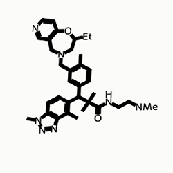 CCC1CN(Cc2cc(C(c3ccc4c(nnn4C)c3C)C(C)(C)C(=O)NCCNC)ccc2C)Cc2cnccc2O1